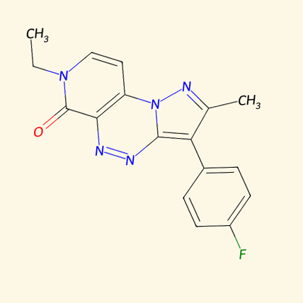 CCn1ccc2c(nnc3c(-c4ccc(F)cc4)c(C)nn32)c1=O